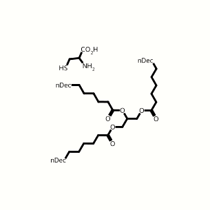 CCCCCCCCCCCCCCCC(=O)OCC(COC(=O)CCCCCCCCCCCCCCC)OC(=O)CCCCCCCCCCCCCCC.NC(CS)C(=O)O